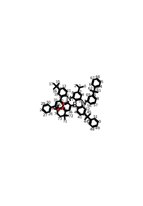 CC(C)c1cc2c3c(c1)N(c1ccc(C(C)(C)C)cc1-c1cccc(-c4ccccc4)c1)c1cc4c(cc1B3c1ccc(C(C)(C)c3ccccc3)cc1N2c1cccc(C(C)(C)c2ccccc2)c1)C(C)(C)CCC4(C)C